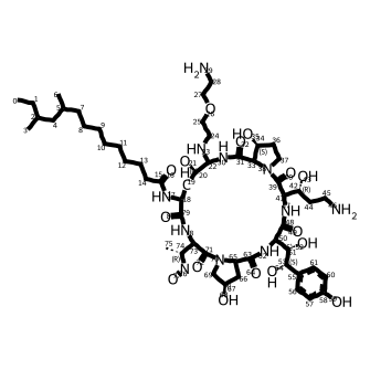 CCC(C)CC(C)CCCCCCCCC(=O)NC1C[C@@H](O)C(NCCOCCN)NC(=O)C2[C@@H](O)CCN2C(=O)C([C@H](O)CCN)NC(=O)C([C@H](O)[C@@H](O)c2ccc(O)cc2)NC(=O)C2C[C@@H](O)CN2C(=O)C([C@@H](C)N=O)NC1=O